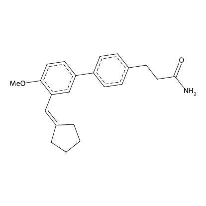 COc1ccc(-c2ccc(CCC(N)=O)cc2)cc1C=C1CCCC1